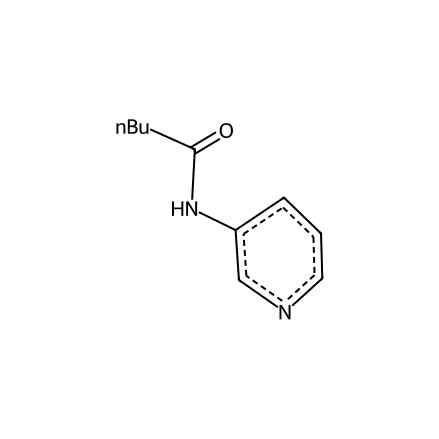 CCCCC(=O)Nc1cccnc1